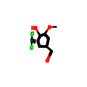 COc1cc(C=O)ccc1O.[Cl][Hg][Cl]